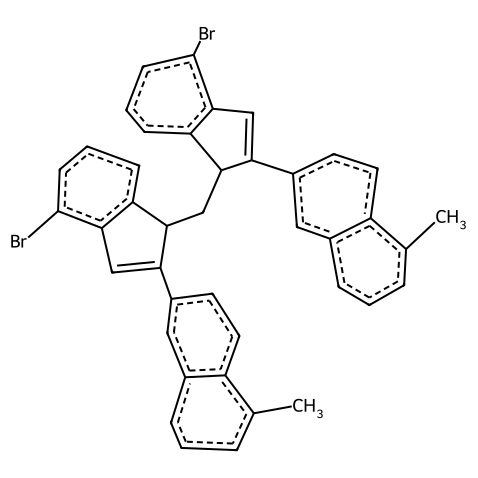 Cc1cccc2cc(C3=Cc4c(Br)cccc4C3CC3C(c4ccc5c(C)cccc5c4)=Cc4c(Br)cccc43)ccc12